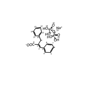 O=C([O-])C(=Cc1ccccc1)Cc1ccccc1.O=P(O)(O)OP(=O)(O)O.[Na+]